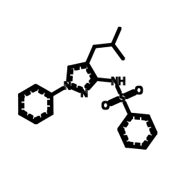 CC(C)Cc1cn(-c2ccccc2)nc1NS(=O)(=O)c1ccccc1